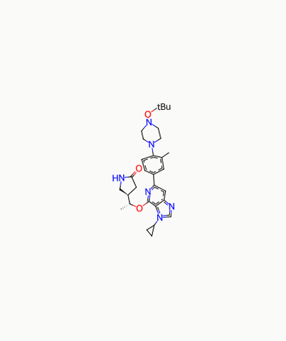 Cc1cc(-c2cc3ncn(C4CC4)c3c(O[C@H](C)[C@H]3CNC(=O)C3)n2)ccc1N1CCN(OC(C)(C)C)CC1